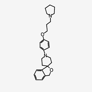 c1ccc2c(c1)COC21CCN(c2ccc(OCCCN3CCCCC3)cc2)CC1